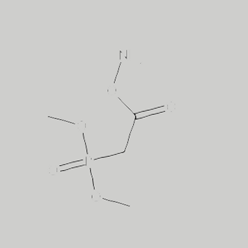 COP(=O)(CC(=O)ON)OC